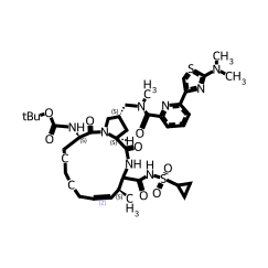 C[C@H]1/C=C\CCCCC[C@H](NC(=O)OC(C)(C)C)C(=O)N2C[C@H](CN(C)C(=O)c3cccc(-c4csc(N(C)C)n4)n3)C[C@H]2C(=O)NC1C(=O)NS(=O)(=O)C1CC1